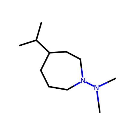 CC(C)C1CCCN(N(C)C)CC1